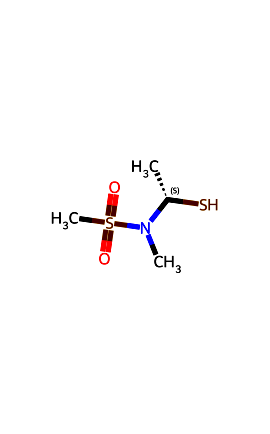 C[C@H](S)N(C)S(C)(=O)=O